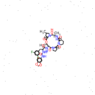 C[C@@H]1C[C@H]2C(=O)O[C@@H](C)[C@H](NC(=O)[C@H](Cc3cc(F)cc(F)c3)NC(=O)Nc3ccc4c(c3)OCO4)C(=O)N3CCC[C@H]3C(=O)N3CCCC[C@H]3C(=O)N[C@@H](C)C(O)N2C1